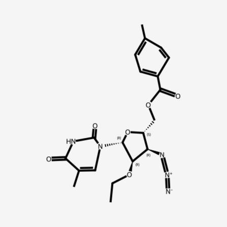 CCO[C@@H]1[C@H](N=[N+]=[N-])[C@@H](COC(=O)c2ccc(C)cc2)O[C@H]1n1cc(C)c(=O)[nH]c1=O